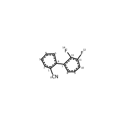 N#Cc1ccccc1-c1cccc(F)c1F